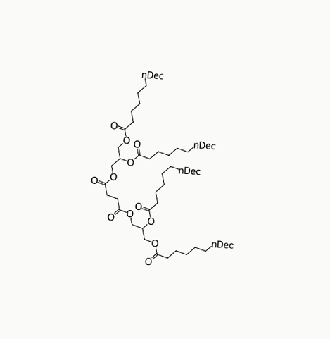 CCCCCCCCCCCCCCCC(=O)OCC(COC(=O)CCC(=O)OCC(COC(=O)CCCCCCCCCCCCCCC)OC(=O)CCCCCCCCCCCCCCC)OC(=O)CCCCCCCCCCCCCCC